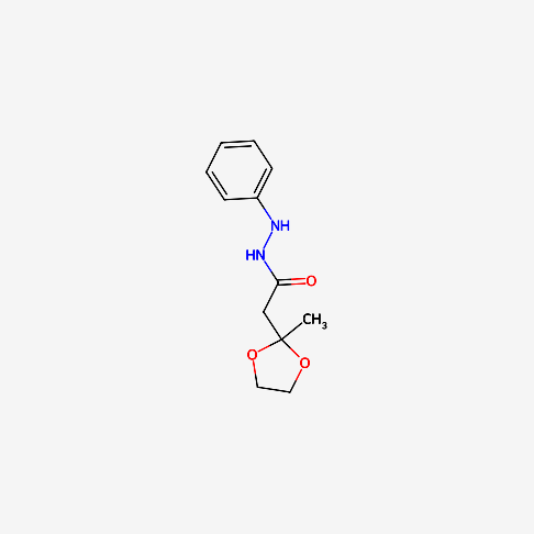 CC1(CC(=O)NNc2ccccc2)OCCO1